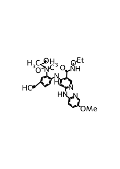 C#Cc1ccc(Nc2cc(Nc3ccc(OC)cn3)ncc2C(=O)NOCC)c(N(C)S(C)(=O)=O)c1